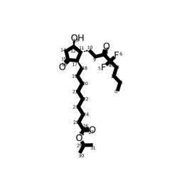 CCCCC(F)(F)C(=O)CC[C@H]1[C@H](O)CC(=O)[C@@H]1CCCCCCCCC(=O)OC(C)C